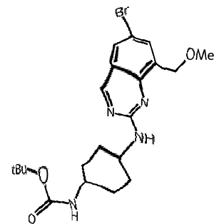 COCc1cc(Br)cc2cnc(NC3CCC(NC(=O)OC(C)(C)C)CC3)nc12